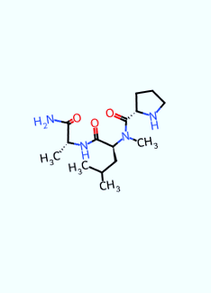 CC(C)C[C@@H](C(=O)N[C@H](C)C(N)=O)N(C)C(=O)[C@@H]1CCCN1